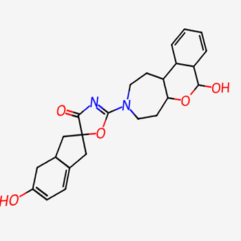 O=C1N=C(N2CCC3OC(O)C4C=CC=CC4C3CC2)OC12CC1=CC=C(O)CC1C2